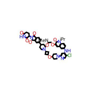 CNC(=O)COc1cc2cc(Nc3cc(N4CCC(O[C@H]5C[C@H](N6CCC(c7ccc8c(c7)C(=O)N(C7CCC(=O)NC7=O)C8=O)CC6)C5)CC4)ncc3Cl)ccc2n(C(C)C)c1=O